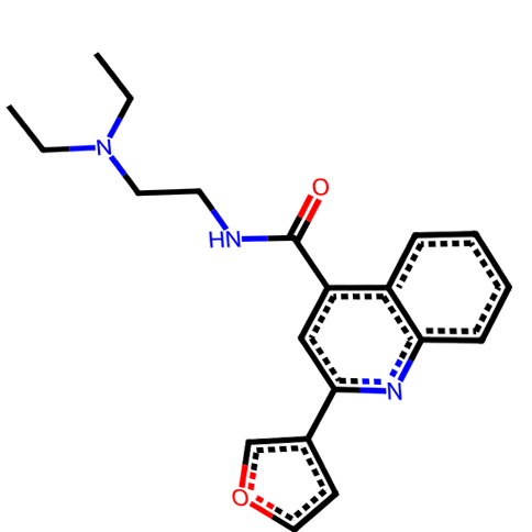 CCN(CC)CCNC(=O)c1cc(-c2ccoc2)nc2ccccc12